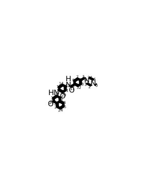 CN1CCN(Cc2ccc(C(=O)Nc3ccc(NC4=CC(=O)c5ccccc5C4=O)cc3)cc2)CC1